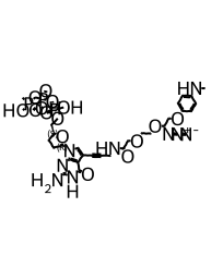 CNc1ccc(OCC(N=[N+]=[N-])OCCOCC(=O)NCC#Cc2cn([C@H]3CC[C@@H](COP(=O)(O)OP(=O)(O)OP(C)(=O)O)O3)c3nc(N)[nH]c(=O)c23)cc1